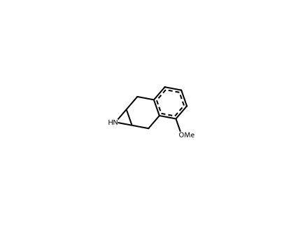 COc1cccc2c1CC1NC1C2